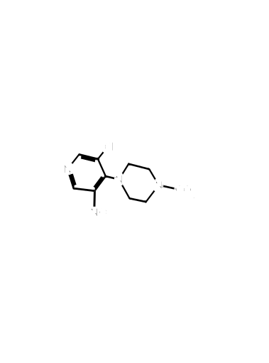 O=C(O)N1CCN(c2c(Cl)cncc2[N+](=O)[O-])CC1